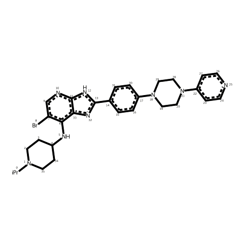 CC(C)N1CCC(Nc2c(Br)cnc3[nH]c(-c4ccc(N5CCN(c6ccncc6)CC5)cc4)nc23)CC1